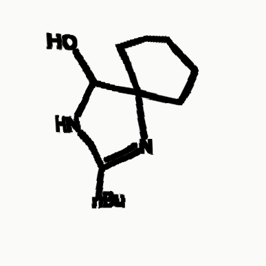 CCCCC1=NC2(CCCC2)C(O)N1